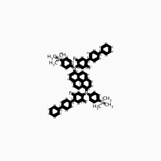 C[Si](C)(C)c1ccc(N(c2cc(F)c(-c3ccc(-c4ccccc4)cc3)cc2F)c2ccc3ccc4c(N(c5ccc([Si](C)(C)C)cc5)c5cc(F)c(-c6ccc(-c7ccccc7)cc6)cc5F)ccc5ccc2c3c54)cc1